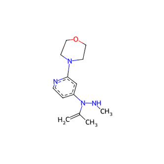 C=C(C)N(NC)c1ccnc(N2CCOCC2)c1